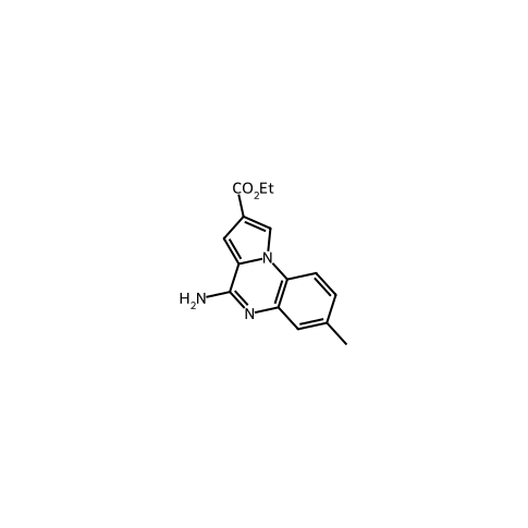 CCOC(=O)c1cc2c(N)nc3cc(C)ccc3n2c1